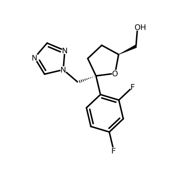 OC[C@@H]1CC[C@](Cn2cncn2)(c2ccc(F)cc2F)O1